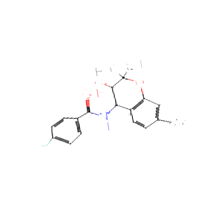 CC(=O)c1ccc2c(c1)OC(C)(C)C(O)C2NC(=O)c1ccc(F)cc1